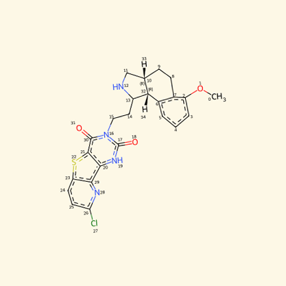 COc1cccc2c1CC[C@H]1CNC(CCn3c(=O)[nH]c4c(sc5ccc(Cl)nc54)c3=O)[C@@H]21